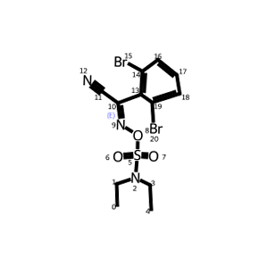 CCN(CC)S(=O)(=O)O/N=C(/C#N)c1c(Br)cccc1Br